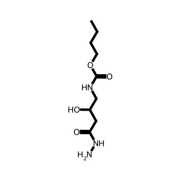 CCCCOC(=O)NCC(O)CC(=O)NN